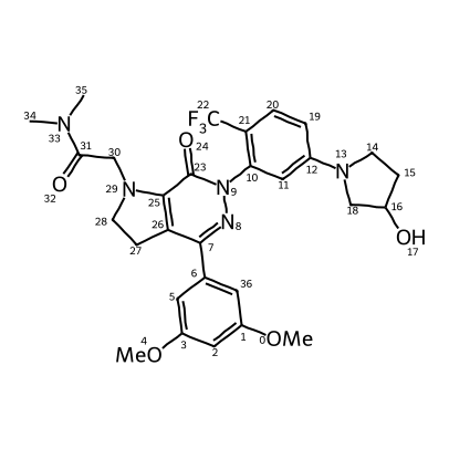 COc1cc(OC)cc(-c2nn(-c3cc(N4CCC(O)C4)ccc3C(F)(F)F)c(=O)c3c2CCN3CC(=O)N(C)C)c1